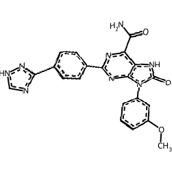 COc1cccc(-n2c(=O)[nH]c3c(C(N)=O)nc(-c4ccc(-c5nc[nH]n5)cc4)nc32)c1